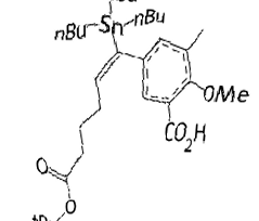 CCC[CH2][Sn]([CH2]CCC)([CH2]CCC)/[C](=C/CCCC(=O)OC(C)(C)C)c1cc(C)c(OC)c(C(=O)O)c1